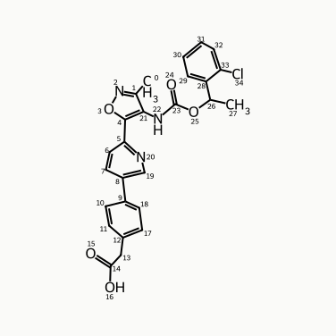 Cc1noc(-c2ccc(-c3ccc(CC(=O)O)cc3)cn2)c1NC(=O)OC(C)c1ccccc1Cl